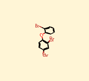 Brc1ccc(Oc2ccccc2Br)c(Br)c1